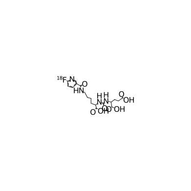 O=C(O)CCC(NC(=O)NC(CCCCNC(=O)c1ccc([18F])nc1)C(=O)O)C(=O)O